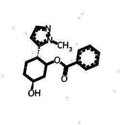 Cn1nccc1[C@H]1CC[C@H](O)CC1OC(=O)c1ccccc1